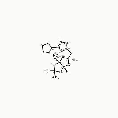 CC1(C)O[C@H]2O[C@@H]3Cn4nnc(C5CCCC5)c4[C@]3(O)[C@H]2O1